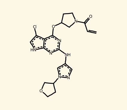 C=CC(=O)N1CCC(Oc2nc(Nc3cnn(C4CCOC4)c3)nc3[nH]cc(Cl)c23)C1